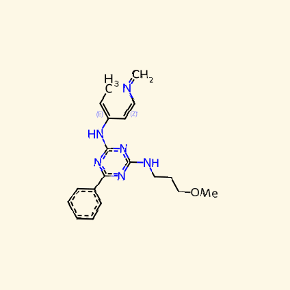 C=N/C=C\C(=C/C)Nc1nc(NCCCOC)nc(-c2ccccc2)n1